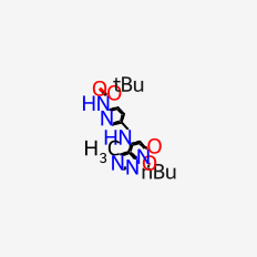 CCCCOn1c(=O)cc(NCc2ccc(NC(=O)OC(C)(C)C)nc2)c2c(C)ncnc21